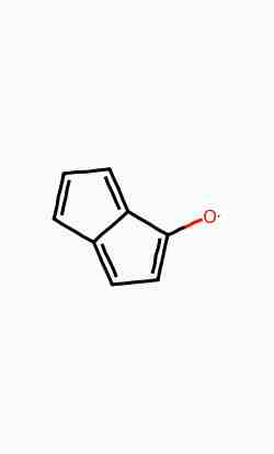 [O]C1=CC=C2C=CC=C12